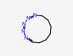 C1=NN=NN=NCCCCCC1